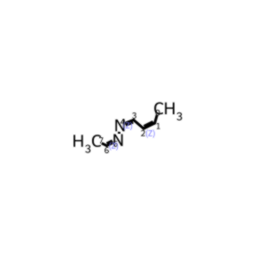 C\C=C/C=N\N=C/C